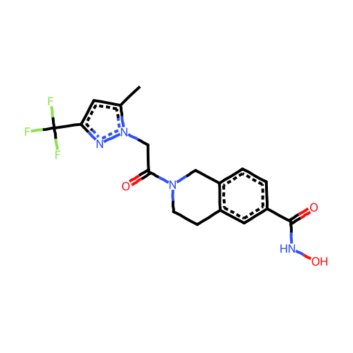 Cc1cc(C(F)(F)F)nn1CC(=O)N1CCc2cc(C(=O)NO)ccc2C1